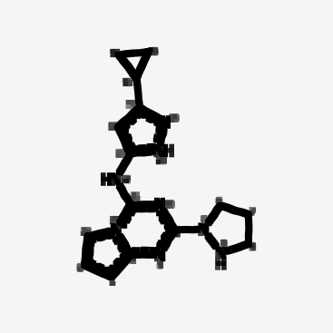 c1cc2nc(N3CCCN3)nc(Nc3cc(C4CC4)n[nH]3)n2c1